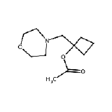 CC(=O)OC1(CN2CCOCC2)CCC1